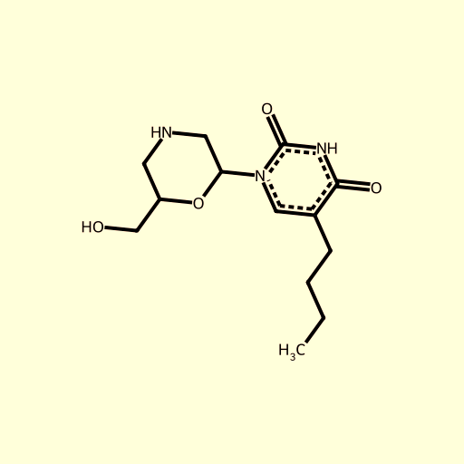 CCCCc1cn(C2CNCC(CO)O2)c(=O)[nH]c1=O